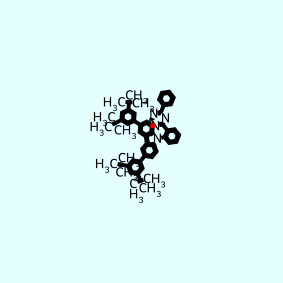 CC(C)(C)c1cc(-c2ccc3c(c2)c2cc(-c4cc(C(C)(C)C)cc(C(C)(C)C)c4)ccc2n3-c2ccccc2-c2ncnc(-c3ccccc3)n2)cc(C(C)(C)C)c1